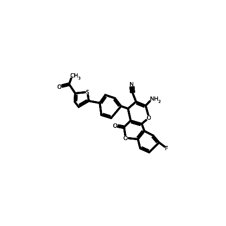 CC(=O)c1ccc(-c2ccc(C3C(C#N)=C(N)Oc4c3c(=O)oc3ccc(F)cc43)cc2)s1